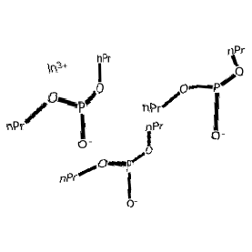 CCCOP([O-])OCCC.CCCOP([O-])OCCC.CCCOP([O-])OCCC.[In+3]